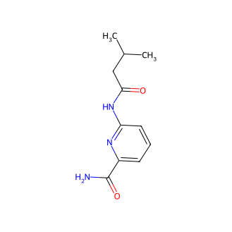 CC(C)CC(=O)Nc1cccc(C(N)=O)n1